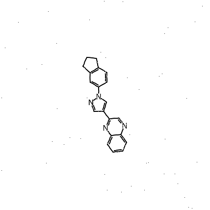 c1ccc2nc(-c3cnn(-c4ccc5c(c4)CCC5)c3)cnc2c1